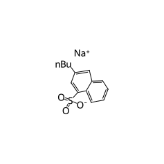 CCCCc1cc(S(=O)(=O)[O-])c2ccccc2c1.[Na+]